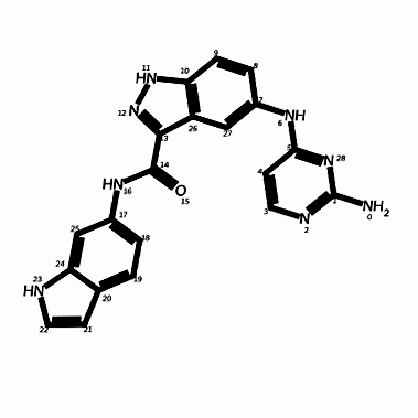 Nc1nccc(Nc2ccc3[nH]nc(C(=O)Nc4ccc5cc[nH]c5c4)c3c2)n1